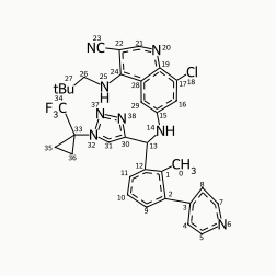 Cc1c(-c2ccncc2)cccc1C(Nc1cc(Cl)c2ncc(C#N)c(NCC(C)(C)C)c2c1)c1cn(C2(C(F)(F)F)CC2)nn1